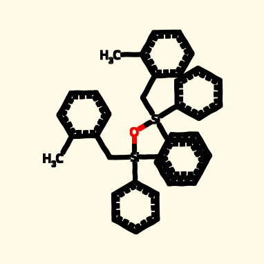 Cc1ccccc1C[Si](O[Si](Cc1ccccc1C)(c1ccccc1)c1ccccc1)(c1ccccc1)c1ccccc1